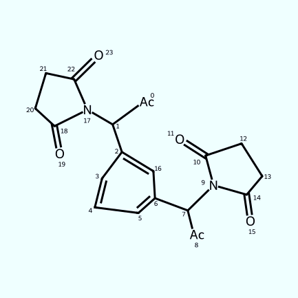 CC(=O)C(c1cccc(C(C(C)=O)N2C(=O)CCC2=O)c1)N1C(=O)CCC1=O